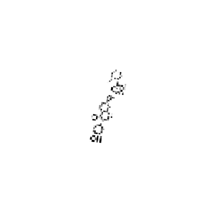 Cc1ccccc1-c1nnc(COc2ccc3c(=O)c(-c4ccc(O)cc4)coc3c2)o1